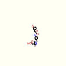 COc1ccc2oc(C(=O)Nc3ccc(Cn4nc(C)c(CC(=O)O)c4C)cc3)cc2c1